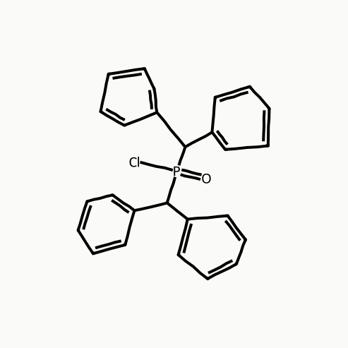 O=P(Cl)(C(c1ccccc1)c1ccccc1)C(c1ccccc1)c1ccccc1